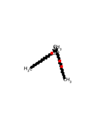 CCCCCC=CCC=CCCCCCCCCO[C@H]1CN(C)C[C@H]1OCCCCCCCCC=CCC=CCCCCC